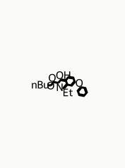 CCCCOC(=O)c1nc(CC)c2cc(Oc3ccccc3)ccc2c1O